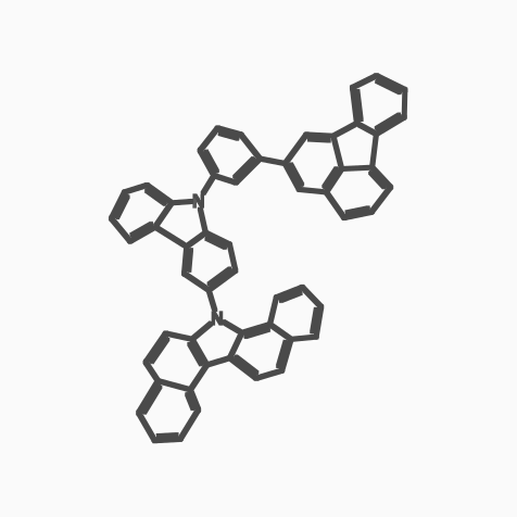 c1cc(-c2cc3c4c(cccc4c2)-c2ccccc2-3)cc(-n2c3ccccc3c3cc(-n4c5ccc6ccccc6c5c5ccc6ccccc6c54)ccc32)c1